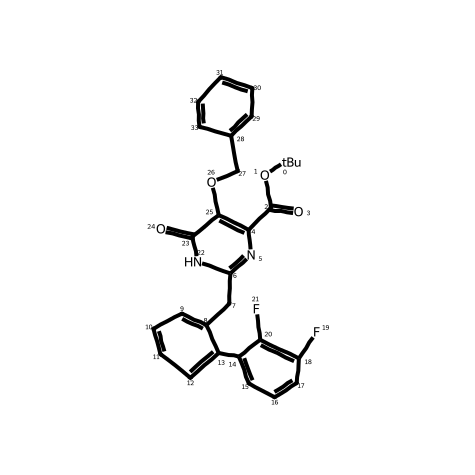 CC(C)(C)OC(=O)c1nc(Cc2ccccc2-c2cccc(F)c2F)[nH]c(=O)c1OCc1ccccc1